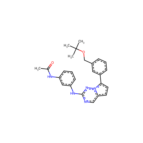 CC(=O)Nc1cccc(Nc2ncc3ccc(-c4cccc(COC(C)(C)C)c4)n3n2)c1